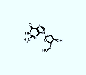 Nc1nc2c(ncn2[C@@H]2CC(O)[C@H](CO)O2)c(=O)[nH]1